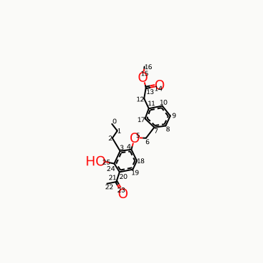 CCCc1c(OCc2cccc(CC(=O)OC)c2)ccc(C(C)=O)c1O